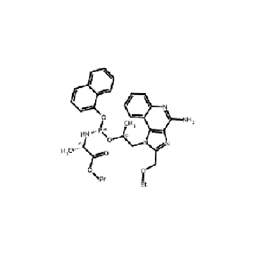 CCOCc1nc2c(N)nc3ccccc3c2n1C[C@H](C)O[P@](N[C@@H](C)C(=O)OC(C)C)Oc1cccc2ccccc12